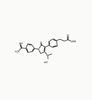 COC(=O)CCc1ccc(C2=C(N(C)C)CN(c3ccc(C(=N)N)cc3)C2=O)cc1.Cl